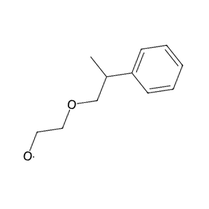 CC(COCC[O])c1ccccc1